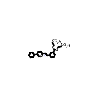 O=C(O)CCSC(SCCC(=O)O)c1cccc(/C=C/c2ccc(-c3ccccc3)cn2)c1